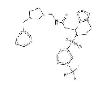 O=C(CC1c2cccn2CCN1S(=O)(=O)c1cccc(C(F)(F)F)c1)NCC1CCN(Cc2ccccc2)C1